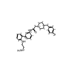 CC(=O)NCCNc1ccccc1-c1nccc(NC(=O)CN2CCC(Cc3ccc(F)cc3)CC2)n1